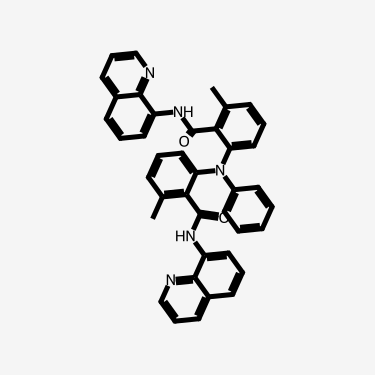 Cc1cccc(N(c2ccccc2)c2cccc(C)c2C(=O)Nc2cccc3cccnc23)c1C(=O)Nc1cccc2cccnc12